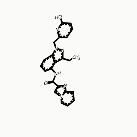 CCc1nn(Cc2cccc(O)n2)c2cccc(NC(=O)c3cn4ccccc4n3)c12